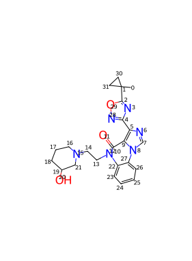 CC1(c2nc(-c3ncn4c3c(=O)n(CCN3CCCC(O)C3)c3ccccc34)no2)CC1